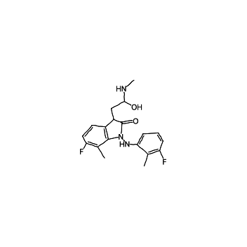 CNC(O)CC1C(=O)N(Nc2cccc(F)c2C)c2c1ccc(F)c2C